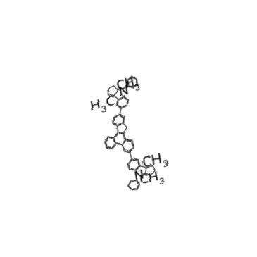 CC12CCCC1(C)N(c1ccccc1)c1ccc(-c3ccc4c(c3)Cc3c-4c4ccccc4c4cc(-c5ccc6c(c5)C5(C)CCCC5(C)N6c5ccccc5)ccc34)cc12